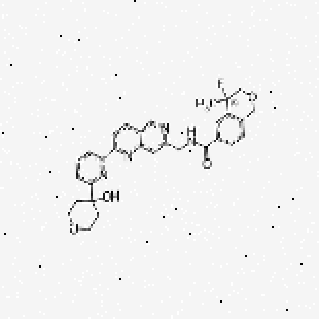 C[C@@]1(F)COCc2ccc(C(=O)NCc3cc4nc(-c5cccc(C6(O)CCOCC6)n5)ccc4cn3)cc21